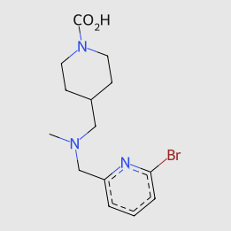 CN(Cc1cccc(Br)n1)CC1CCN(C(=O)O)CC1